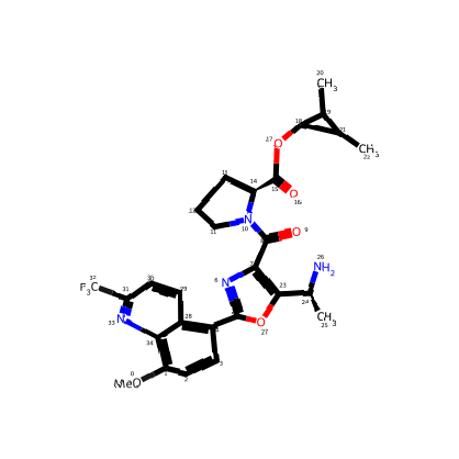 COc1ccc(-c2nc(C(=O)N3CCC[C@H]3C(=O)OC3C(C)C3C)c([C@H](C)N)o2)c2ccc(C(F)(F)F)nc12